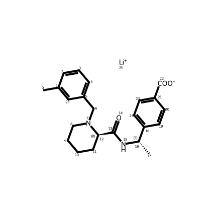 Cc1cccc(CN2CCCC[C@@H]2C(=O)N[C@@H](C)c2ccc(C(=O)[O-])cc2)c1.[Li+]